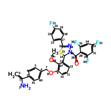 C=C(N)c1ccc(COc2cccc(C3SC(c4ccc(F)cc4)=NN3C(=O)c3c(F)cc(F)cc3F)c2OC)cc1